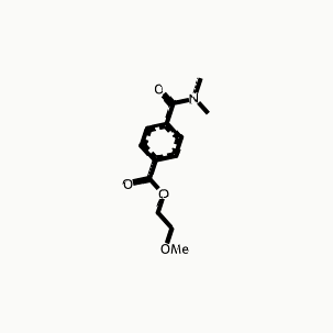 COCCOC(=O)c1ccc(C(=O)N(C)C)cc1